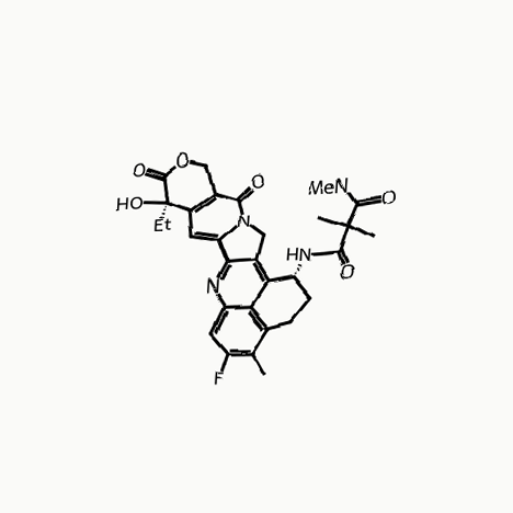 CC[C@]1(O)C(=O)OCc2c1cc1n(c2=O)Cc2c-1nc1cc(F)c(C)c3c1c2[C@H](NC(=O)C(C)(C)C(=O)NC)CC3